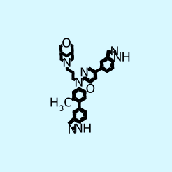 Cc1cc2c(cc1-c1ccc3[nH]ncc3c1)Oc1cc(-c3ccc4[nH]ncc4c3)cnc1N2CCCN1CC2COCC(C2)C1